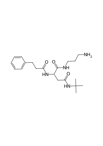 CC(C)(C)NC(=O)CC(NC(=O)CCc1ccccc1)C(=O)NCCCN